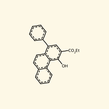 CCOC(=O)c1cc(-c2ccccc2)c2ccc3ccccc3c2c1O